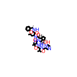 CCCC(NC(=O)C1[C@H]2CC[C@@](C)(O)[C@H]2CN1C(=O)[C@@H](NC(=O)[C@H](NC(=O)c1cnccn1)C(C)C)C(C)(C)C)C(=O)C(=O)N[C@@H](C)c1ccccc1